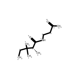 CCC(C)(C)[C@@H](C)C(=O)NCCC(C)=O